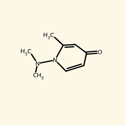 Cc1cc(=O)ccn1N(C)C